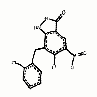 O=C1[N]Nc2c1cc([N+](=O)[O-])c(Cl)c2Cc1ccccc1Cl